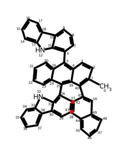 Cc1ccc2c(-c3cccc4c3[nH]c3ccccc34)c3ccccc3c(-c3cccc4c3[nH]c3ccccc34)c2c1-c1ccc2ccccc2c1